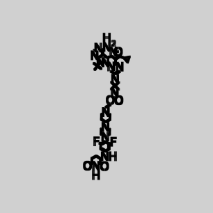 CC(C)(C)n1nc(-c2noc(C3CC3)c2-c2ncc(N3CC4(CN(C(=O)OCCN5CCC(N6CCN(c7c(F)cc(N[C@@H]8CCC(=O)NC8=O)cc7F)CC6)CC5)C4)C3)cn2)c2c(N)ncnc21